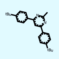 Cc1nc(-c2ccc(C(C)(C)C)cc2)cc(-c2ccc(C(C)(C)C)cc2)n1